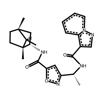 C[C@@H]1[C@]2(C)CC[C@@]1(C)[C@@H](NC(=O)c1cc([C@@H](C)NC(=O)c3cnn4ccccc34)no1)C2